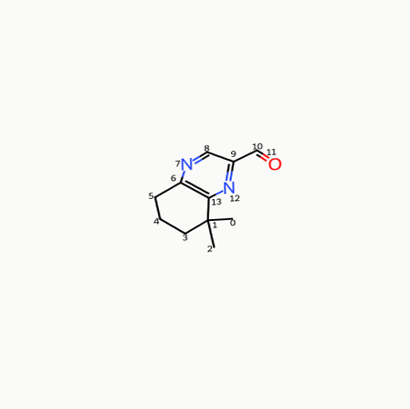 CC1(C)CCCc2ncc(C=O)nc21